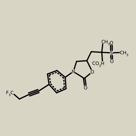 CC(CC1CN(c2ccc(C#CCC(F)(F)F)cc2)C(=O)O1)(C(=O)O)S(C)(=O)=O